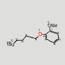 COc1ccccc1OCCCCC(C)(C)C